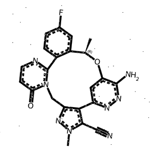 C[C@H]1Oc2cc(nnc2N)-c2c(nn(C)c2C#N)Cn2c(nccc2=O)-c2ccc(F)cc21